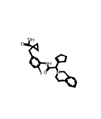 O=C(Nc1cc(CC2(C(=O)O)CC2)ccc1F)C(C1=CCCC1)N1CCc2ccccc2C1